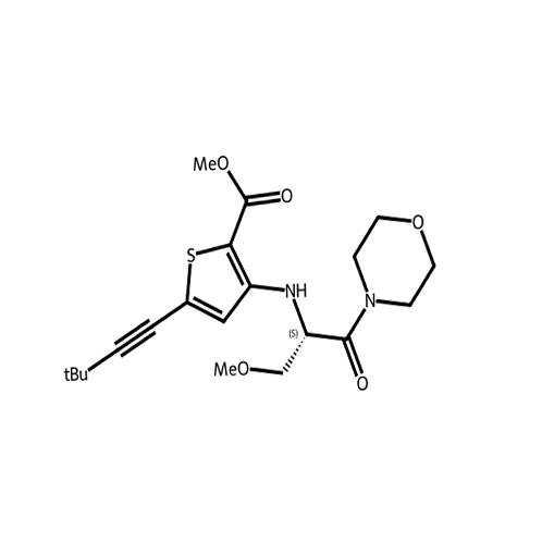 COC[C@H](Nc1cc(C#CC(C)(C)C)sc1C(=O)OC)C(=O)N1CCOCC1